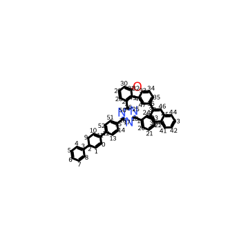 C1=CC(c2ccccc2)CC=C1c1ccc(-c2nc(-c3ccccc3)nc(-c3cccc4oc5ccc(-c6ccc7ccccc7c6)cc5c34)n2)cc1